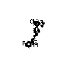 O=C1Nc2ccc(F)cc2C1CCCCN1CCN(c2cc(Cl)cc3c2OCCO3)CC1